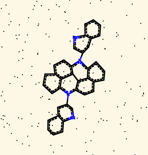 c1ccc2ncc(-n3c4ccc5cccc6c5c4-c4c5c(cccc53)ccc4n6-c3cnc4ccccc4c3)cc2c1